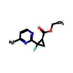 CCOC(=O)[C@H]1C[C@]1(F)c1nccc(C)n1